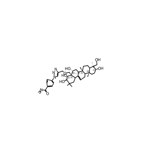 CC1(C)CC2C3=CCC4[C@@]5(C)CC[C@H](O)[C@](C)(CO)C5CC[C@@]4(C)[C@]3(C)C[C@@H](O)[C@@]2(COCc2cn(-c3ccc(C(=O)N=O)cc3)nn2)[C@@H](O)[C@@H]1O